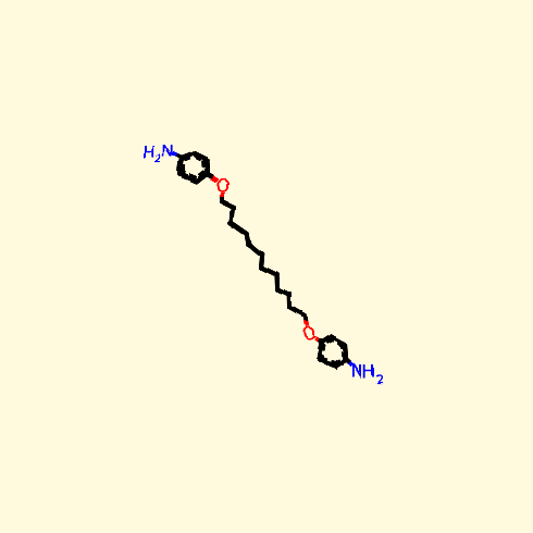 Nc1ccc(OCCCCCCCCCCCCOc2ccc(N)cc2)cc1